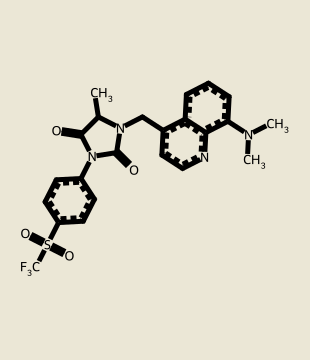 CC1C(=O)N(c2ccc(S(=O)(=O)C(F)(F)F)cc2)C(=O)N1Cc1ccnc2c(N(C)C)cccc12